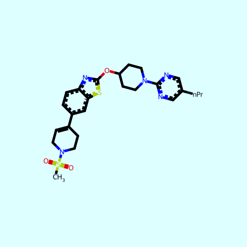 CCCc1cnc(N2CCC(Oc3nc4ccc(C5=CCN(S(C)(=O)=O)CC5)cc4s3)CC2)nc1